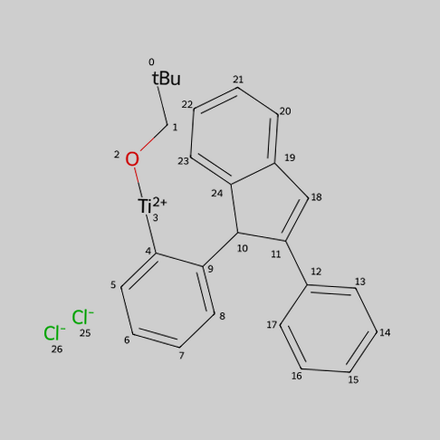 CC(C)(C)C[O][Ti+2][c]1ccccc1C1C(c2ccccc2)=Cc2ccccc21.[Cl-].[Cl-]